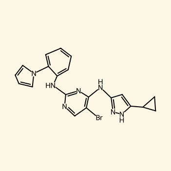 Brc1cnc(Nc2ccccc2-n2cccc2)nc1Nc1cc(C2CC2)[nH]n1